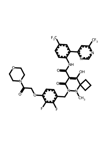 CN1N(Cc2ccc(OCC(=O)N3CCOCC3)c(F)c2F)C(=O)C(C(=O)Nc2ccc(C(F)(F)F)cc2-c2cc(C(F)(F)F)ncn2)=C(O)C12CCC2